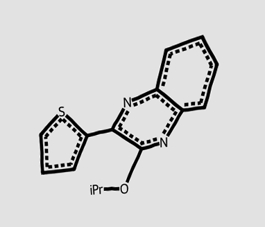 CC(C)Oc1nc2ccccc2nc1-c1cccs1